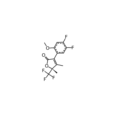 COc1cc(F)c(F)cc1C1=C(C)[C@](C)(C(F)(F)F)OC1=O